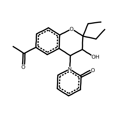 CCC1(CC)Oc2ccc(C(C)=O)cc2C(n2ccccc2=O)C1O